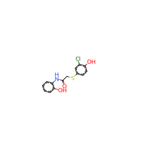 O=C(CSc1ccc(O)c(Cl)c1)Nc1ccccc1O